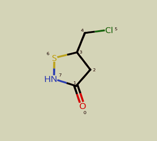 O=C1CC(CCl)SN1